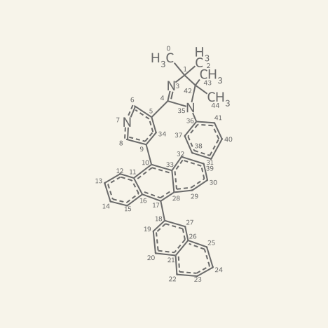 CC1(C)N=C(c2cncc(-c3c4ccccc4c(-c4ccc5ccccc5c4)c4ccccc34)c2)N(c2ccccc2)C1(C)C